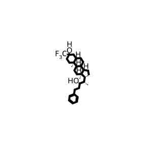 C[C@@H]([C@H]1CC[C@H]2[C@@H]3CC[C@H]4C[C@](O)(C(F)(F)F)CC[C@]4(C)[C@H]3CC[C@]12C)[C@@H](O)CCc1ccccc1